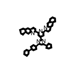 c1ccc(-c2ccc(-c3cc(-c4ccccc4)nc(-c4cc(-c5ccc6cc7ccccc7cc6n5)nc(-c5ccc6cc7ccccc7cc6n5)c4)n3)cc2)cc1